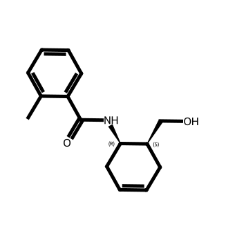 Cc1ccccc1C(=O)N[C@@H]1CC=CC[C@@H]1CO